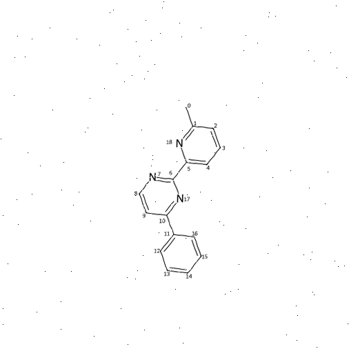 Cc1cccc(-c2nccc(-c3ccccc3)n2)n1